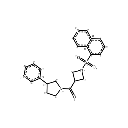 O=C(C1CN(S(=O)(=O)c2cccc3cnccc23)C1)N1CCC(c2cccnc2)C1